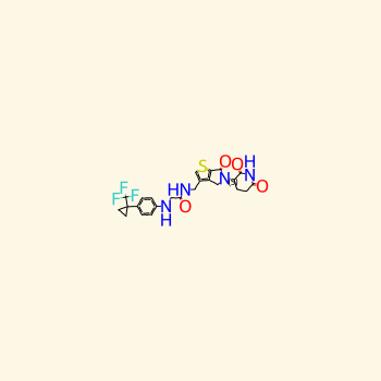 O=C(CNc1ccc(C2(C(F)(F)F)CC2)cc1)NCc1csc2c1CN([C@H]1CCC(=O)NC1=O)C2=O